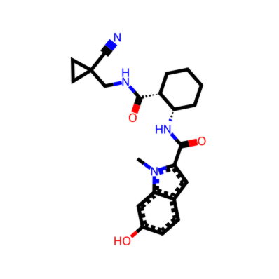 Cn1c(C(=O)N[C@H]2CCCC[C@H]2C(=O)NCC2(C#N)CC2)cc2ccc(O)cc21